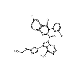 C[C@H](c1nc2ccc(F)cn2c(=O)c1-c1cccc(F)c1)n1nc(-c2cnc(OCC(F)(F)F)s2)c2c(N)ncnc21